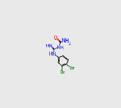 N=C(NC(N)=O)Nc1ccc(Br)c(Br)c1